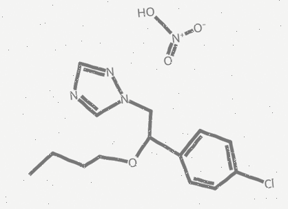 CCCCOC(Cn1cncn1)c1ccc(Cl)cc1.O=[N+]([O-])O